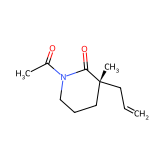 C=CC[C@]1(C)CCCN(C(C)=O)C1=O